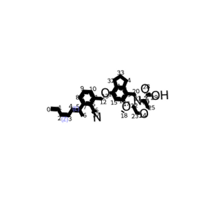 C=C/C=C\C=C(/C)c1cccc(COc2cc(OC)c(CN3CCOC[C@H]3C(=O)O)c3c2CCC3)c1C#N